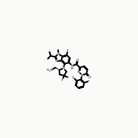 CC(C)c1nc2c(N3CC(F)(F)C[C@H]3CN)c(NC(=O)c3ccc(=O)n(-c4c(F)cccc4F)n3)cc(F)c2n1C